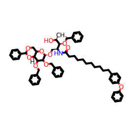 C[C@@H](O)[C@@H](OCc1ccccc1)[C@H](CO[C@H]1OC2COC(c3ccccc3)O[C@@H]2C(OCc2ccccc2)C1OCc1ccccc1)NC(=O)CCCCCCCCCCc1ccc(Oc2ccccc2)cc1